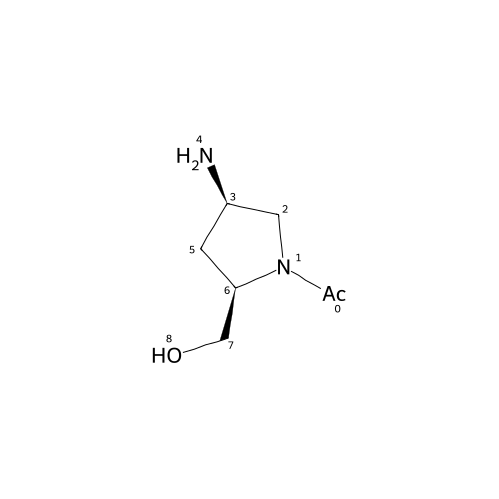 CC(=O)N1C[C@H](N)C[C@@H]1CO